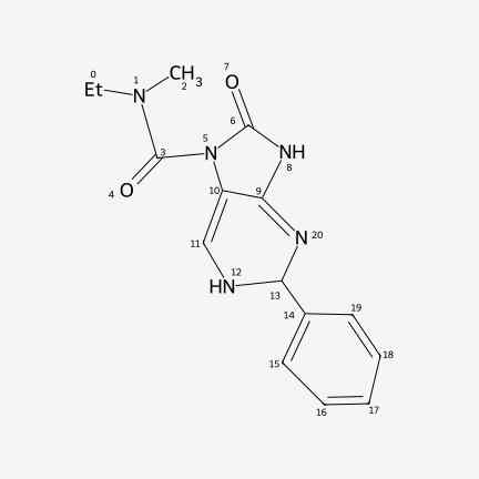 CCN(C)C(=O)n1c(=O)[nH]c2c1=CNC(c1ccccc1)N=2